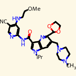 COCCNc1cc(NC(=O)c2cn(C(C)C)c3cc(CN4CCN(C)CC4)c(C4OCCO4)nc23)ncc1C#N